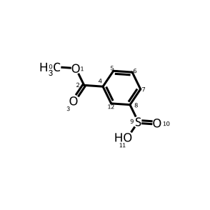 COC(=O)c1cccc(S(=O)O)c1